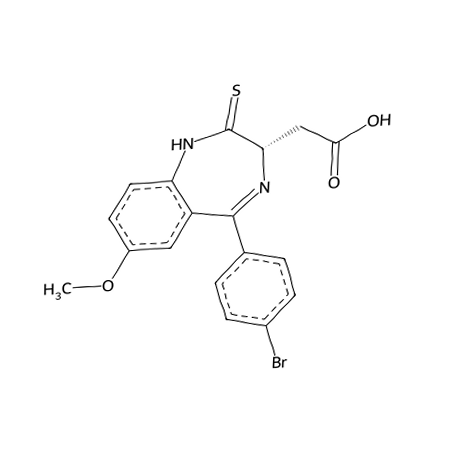 COc1ccc2c(c1)C(c1ccc(Br)cc1)=N[C@@H](CC(=O)O)C(=S)N2